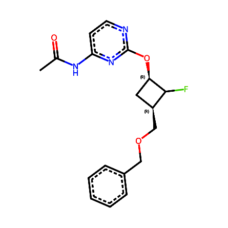 CC(=O)Nc1ccnc(O[C@@H]2C[C@H](COCc3ccccc3)C2F)n1